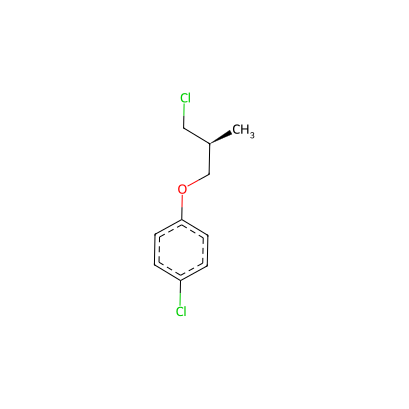 C[C@H](CCl)COc1ccc(Cl)cc1